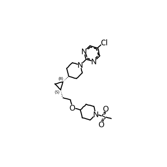 CS(=O)(=O)N1CCC(OCC[C@@H]2C[C@@H]2C2CCN(c3ncc(Cl)cn3)CC2)CC1